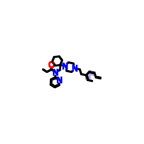 C=C/C=C\C(=C/C)CCN1CCN(C2(CN(C(=O)CC)c3ccccn3)CCCCC2)CC1